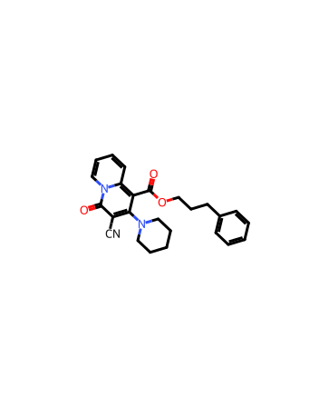 N#Cc1c(N2CCCCC2)c(C(=O)OCCCc2ccccc2)c2ccccn2c1=O